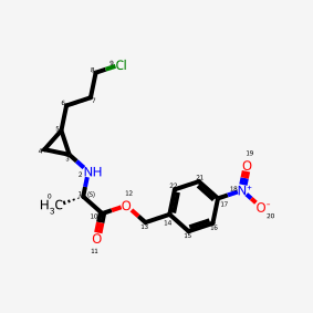 C[C@H](NC1CC1CCCCl)C(=O)OCc1ccc([N+](=O)[O-])cc1